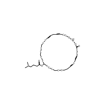 CN(C)CCCC(=O)OC1CCCCCCCC/C=C\C/C=C\CCOCPOC(=O)CC/C=C\C/C=C\CCCCCCCC1